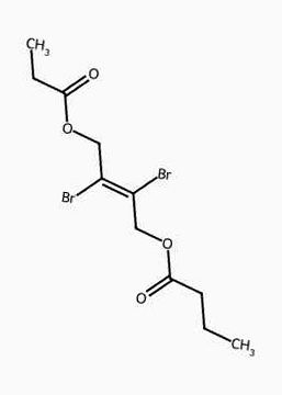 CCCC(=O)OC/C(Br)=C(\Br)COC(=O)CC